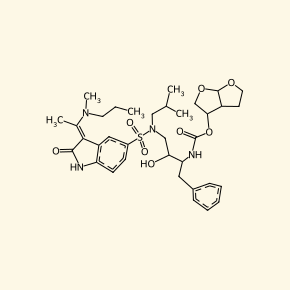 CCCN(C)C(C)=C1C(=O)Nc2ccc(S(=O)(=O)N(CC(C)C)CC(O)C(Cc3ccccc3)NC(=O)OC3COC4OCCC34)cc21